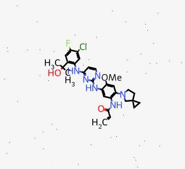 C=CC(=O)Nc1cc(Nc2nccc(Nc3cc(Cl)c(F)cc3C(C)(C)O)n2)c(OC)cc1N1CCC2(CC2)C1